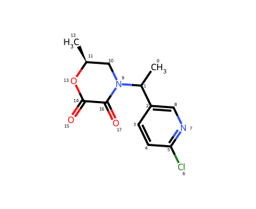 CC(c1ccc(Cl)nc1)N1C[C@H](C)OC(=O)C1=O